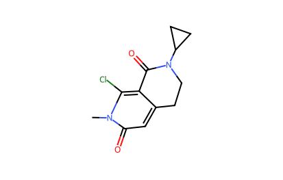 Cn1c(Cl)c2c(cc1=O)CCN(C1CC1)C2=O